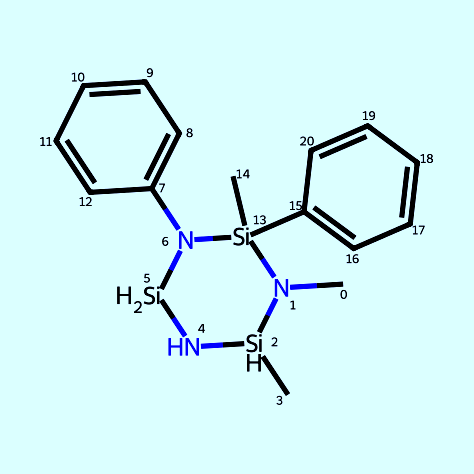 CN1[SiH](C)N[SiH2]N(c2ccccc2)[Si]1(C)c1ccccc1